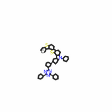 c1ccc(-c2nc(-c3ccccc3)nc(-c3cccc(-c4ccc5c(c4)c4c6sc7c(ccc8sc9ccccc9c87)c6ccc4n5-c4ccccc4)c3)n2)cc1